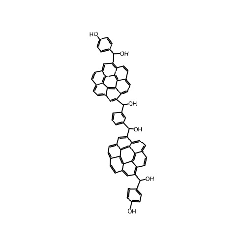 Oc1ccc(C(O)c2cc3ccc4ccc5cc(C(O)c6cccc(C(O)c7cc8ccc9ccc%10cc(C(O)c%11ccc(O)cc%11)c%11ccc%12ccc7c7c8c9c%10c%11c%127)c6)c6ccc7ccc2c2c3c4c5c6c72)cc1